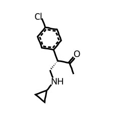 CC(=O)[C@H](CNC1CC1)c1ccc(Cl)cc1